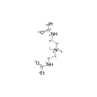 CCC(=O)NCC[N+](C)(C)CCNC(=O)C(C)C